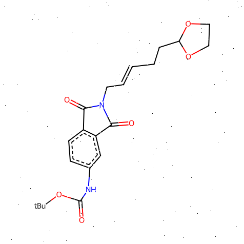 CC(C)(C)OC(=O)Nc1ccc2c(c1)C(=O)N(CC=CCCC1OCCO1)C2=O